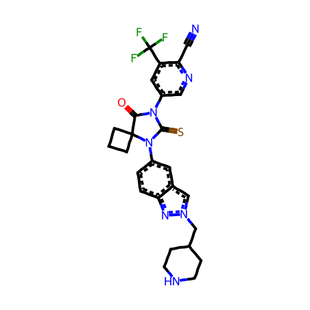 N#Cc1ncc(N2C(=O)C3(CCC3)N(c3ccc4nn(CC5CCNCC5)cc4c3)C2=S)cc1C(F)(F)F